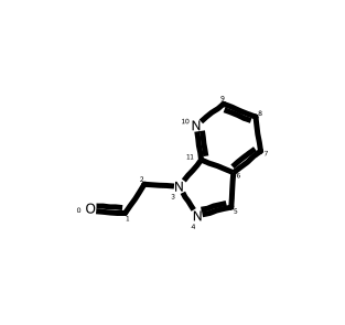 O=CCn1ncc2cccnc21